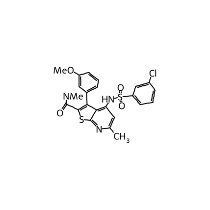 CNC(=O)c1sc2nc(C)cc(NS(=O)(=O)c3cccc(Cl)c3)c2c1-c1cccc(OC)c1